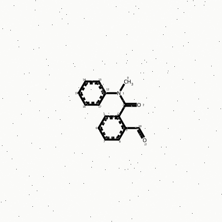 CN(C(=O)c1ccccc1C=O)c1ccccc1